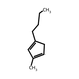 CCCCC1=CC(C)=[C]C1